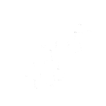 CN(C)C(=O)c1cccc([C@@H](CN2CCC(O)C2)N(C)C(=O)Cc2ccc3c(c2)NS(O)(O)C3)c1